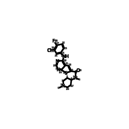 CN1CCC(N(C)C(=O)c2cc3c(Nc4ccc(F)c(Cl)c4)ncnc3s2)CC1